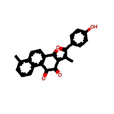 Cc1c(-c2ccc(O)cc2)oc2c1C(=O)C(=O)c1c-2ccc2c(C)cccc12